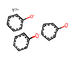 [O-]c1ccccc1.[O-]c1ccccc1.[O-]c1ccccc1.[Y+3]